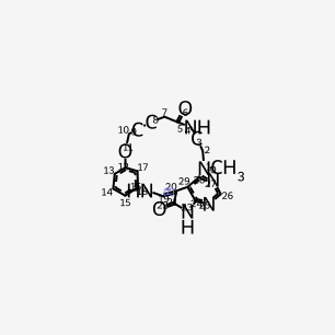 CN1CCNC(=O)CCCCOc2cccc(c2)N/C=C2\C(=O)Nc3ncnc1c32